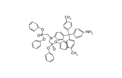 Cc1ccc(C(c2ccc(C)cc2)(c2ccc(N)cc2)c2ccc(N(CP(=O)(Oc3ccccc3)Oc3ccccc3)CP(=O)(Oc3ccccc3)Oc3ccccc3)cc2)cc1